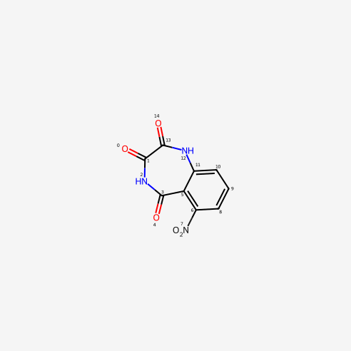 O=c1[nH]c(=O)c2c([N+](=O)[O-])cccc2[nH]c1=O